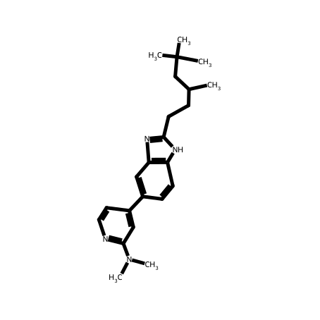 CC(CCc1nc2cc(-c3ccnc(N(C)C)c3)ccc2[nH]1)CC(C)(C)C